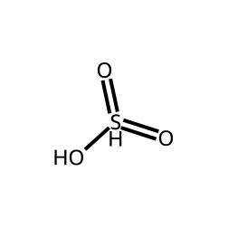 O=[SH](=O)O